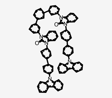 O=c1n(-c2ccc(-c3ccc(-n4c5ccccc5c5ccccc54)cc3)cc2)c2ccccc2n1-c1cccc(-c2cccc(-c3cccc(-n4c(=O)n(-c5ccc(-c6ccc(-n7c8ccccc8c8ccccc87)cc6)cc5)c5ccccc54)c3)c2)c1